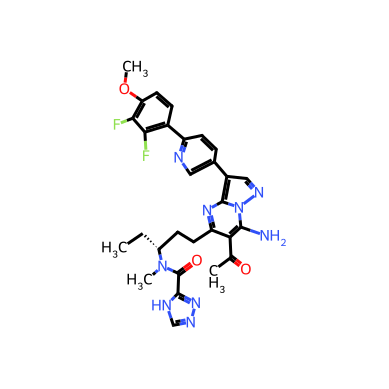 CC[C@H](CCc1nc2c(-c3ccc(-c4ccc(OC)c(F)c4F)nc3)cnn2c(N)c1C(C)=O)N(C)C(=O)c1nnc[nH]1